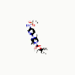 CC(C)(C)OC(=O)N1C[C@@H]2C[C@H]1CN2c1ccc(NS(C)(=O)=O)cn1